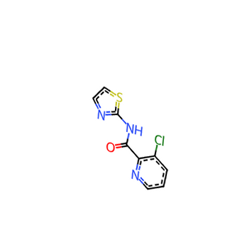 O=C(Nc1nccs1)c1ncccc1Cl